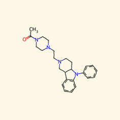 CC(=O)N1CCN(CCN2CCC3C(C2)c2ccccc2N3c2ccccc2)CC1